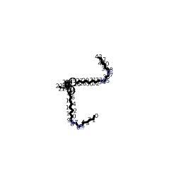 CCCCC/C=C\C/C=C\CCCCCCCCO[C@@H]1[C@H](CC)C[C@@H]1OCCCCCCCC/C=C\C/C=C\CCCCC